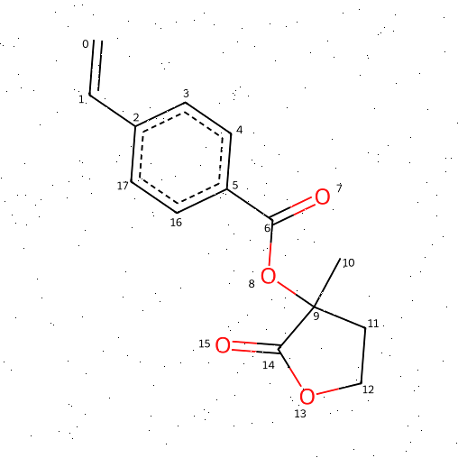 C=Cc1ccc(C(=O)OC2(C)CCOC2=O)cc1